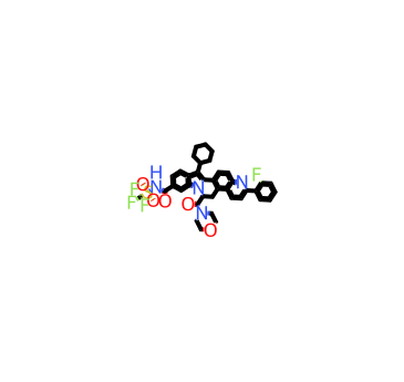 O=C(NS(=O)(=O)C(F)(F)F)c1ccc2c(C3CCCCC3)c3n(c2c1)C(C(=O)N1CCOCC1)Cc1c-3ccc2nc(-c3ccccc3F)ccc12